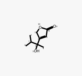 CC(C)C(C)(O)C1=CC(=O)OC1